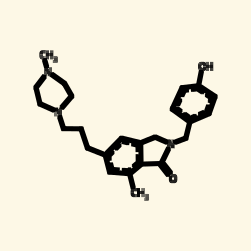 Cc1cc(CCCN2CCN(C)CC2)cc2c1C(=O)N(Cc1ccc(O)cc1)C2